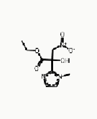 CCOC(=O)C(O)(C[N+](=O)[O-])c1nccn1C